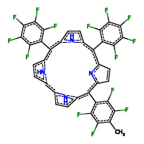 Cc1c(F)c(F)c(-c2c3nc(c(-c4c(F)c(F)c(F)c(F)c4F)c4ccc([nH]4)c(-c4c(F)c(F)c(F)c(F)c4F)c4ccc([nH]4)c4ccc2[nH]4)C=C3)c(F)c1F